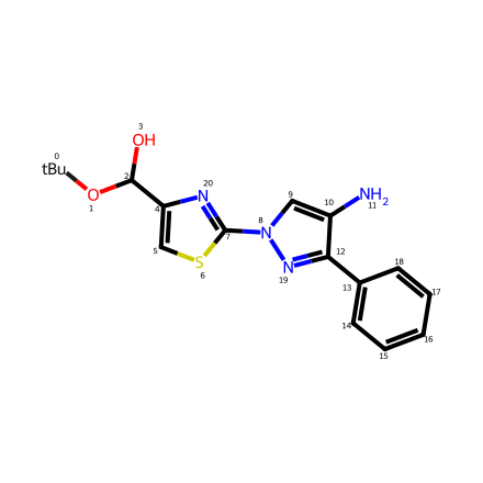 CC(C)(C)OC(O)c1csc(-n2cc(N)c(-c3ccccc3)n2)n1